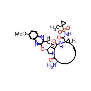 COc1ccc2nc(C)c(O[C@@H]3C[C@H]4C(=O)NC5(C(=O)NS(=O)(=O)C6(C)CC6)C[C@H]5/C=C\CCCCC[C@H](N)C(=O)N4C3)nc2c1